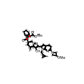 COC1CN(c2ccc3cc(-c4nn5cc(C(=O)N6CC7CCC6[C@@H]7NC(=O)OC(C)(C)C)cc(F)c5c4C)n(CC4CC4)c3n2)C1